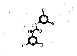 O=C(Nc1cc(Cl)cc(Cl)c1)Nc1cc(Br)cc(Br)c1